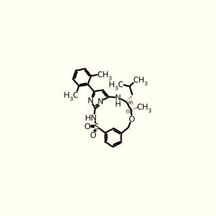 Cc1cccc(C)c1-c1cc2nc(n1)NS(=O)(=O)c1cccc(c1)CO[C@@H](C)[C@@H](CC(C)C)N2